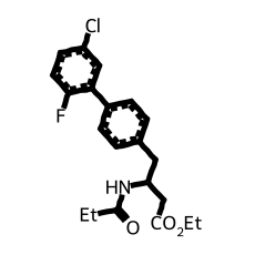 [CH2]CC(=O)NC(CC(=O)OCC)Cc1ccc(-c2cc(Cl)ccc2F)cc1